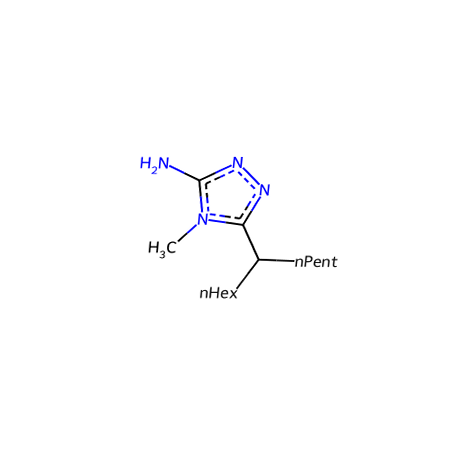 CCCCCCC(CCCCC)c1nnc(N)n1C